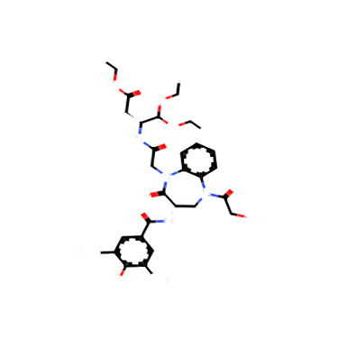 CCOC(=O)C[C@H](NC(=O)CN1C(=O)[C@@H](NC(=O)c2cc(C)c(O)c(C)c2)CN(C(=O)CO)c2ccccc21)C(OCC)OCC